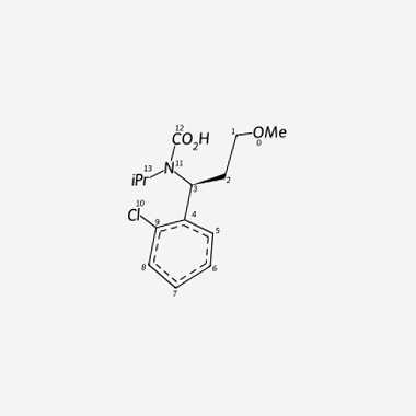 COCC[C@@H](c1ccccc1Cl)N(C(=O)O)C(C)C